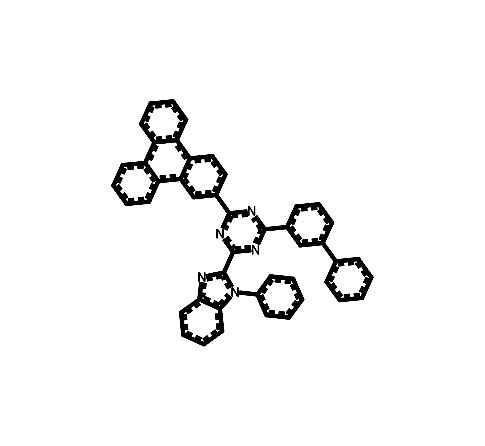 c1ccc(-c2cccc(-c3nc(-c4ccc5c6ccccc6c6ccccc6c5c4)nc(-c4nc5ccccc5n4-c4ccccc4)n3)c2)cc1